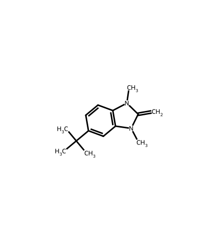 C=C1N(C)c2ccc(C(C)(C)C)cc2N1C